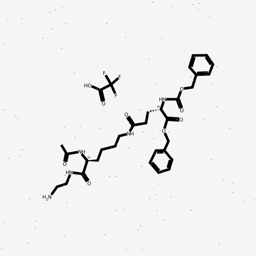 CC(=O)N[C@@H](CCCCNC(=O)CC[C@H](NC(=O)OCc1ccccc1)C(=O)OCc1ccccc1)C(=O)NCCN.O=C(O)C(F)(F)F